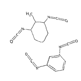 CC1C(N=C=O)CCCC1N=C=O.O=C=Nc1cccc(N=C=O)c1